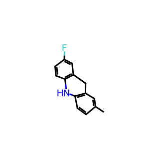 Cc1ccc2c(c1)Cc1cc(F)ccc1N2